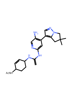 C=C(Nc1cc(-c2cnn3c2CC(C)(C)C3)c(N)cn1)NC1C=CC(NC(C)=O)CC1